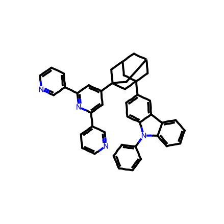 c1ccc(-n2c3ccccc3c3cc(C45CC6CC(CC(c7cc(-c8cccnc8)nc(-c8cccnc8)c7)(C6)C4)C5)ccc32)cc1